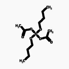 CCCCO[Si](OCCCC)(OC(C)=O)OC(C)=O